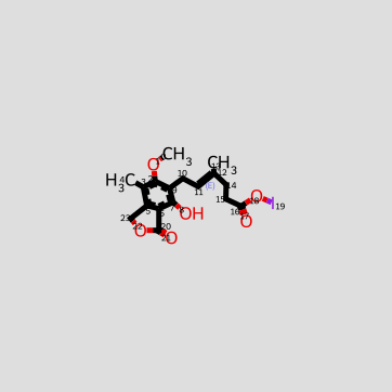 COc1c(C)c2c(c(O)c1C/C=C(\C)CCC(=O)OI)C(=O)OC2